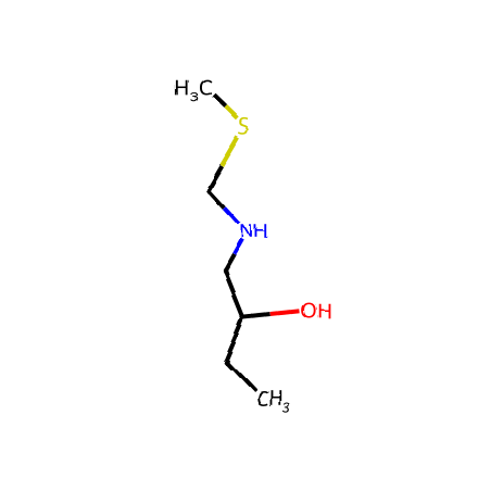 CCC(O)CNCSC